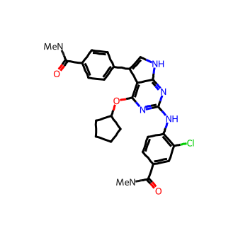 CNC(=O)c1ccc(-c2c[nH]c3nc(Nc4ccc(C(=O)NC)cc4Cl)nc(OC4CCCC4)c23)cc1